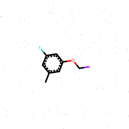 Cc1cc(F)cc(OCI)c1